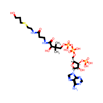 CC(C)(COP(=O)(O)OP(=O)(O)OC[C@H]1O[C@@H](n2cnc3c(N)ncnc32)[C@H](O)[C@@H]1OP(=O)(O)O)C(O)C(=O)NCCC(=O)NCCSCCCO